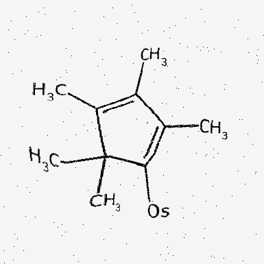 CC1=C(C)C(C)(C)[C]([Os])=C1C